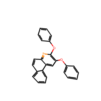 c1ccc(Oc2cc3c(ccc4ccccc43)pc2Oc2ccccc2)cc1